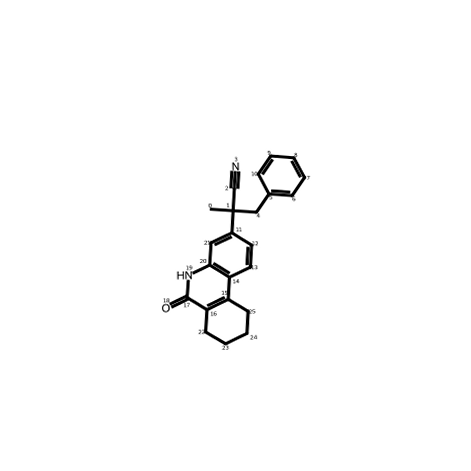 CC(C#N)(Cc1ccccc1)c1ccc2c3c(c(=O)[nH]c2c1)CCCC3